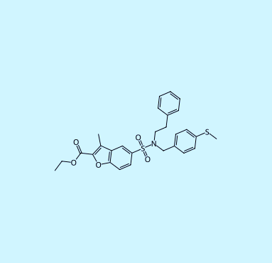 CCOC(=O)c1oc2ccc(S(=O)(=O)N(CCc3ccccc3)Cc3ccc(SC)cc3)cc2c1C